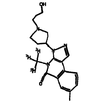 [2H]C([2H])([2H])n1c(=O)c2cc(C)ccc2c2cnn(C3CCN(CCO)C3)c21